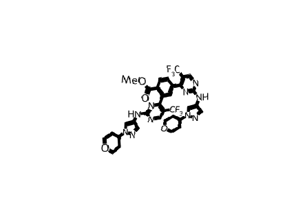 COC(=O)c1ccc(-c2nc(Nc3cnn(C4CCOCC4)c3)ncc2C(F)(F)F)cc1-c1nc(Nc2cnn(C3CCOCC3)c2)ncc1C(F)(F)F